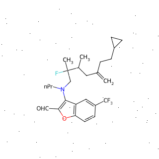 C=C(CCC1CC1)CC(C)C(C)(F)CN(CCC)c1c(C=O)oc2ccc(C(F)(F)F)cc12